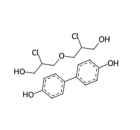 OCC(Cl)COCC(Cl)CO.Oc1ccc(-c2ccc(O)cc2)cc1